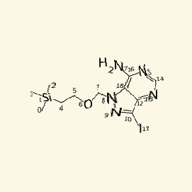 C[Si](C)(C)CCOCn1nc(I)c2ncnc(N)c21